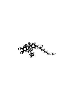 CCCCCCCCCCCCCCCC(=O)NCc1ccc(S(=O)(=O)Nc2cc(Cl)c(Cl)cc2NS(=O)(=O)c2cccs2)cc1